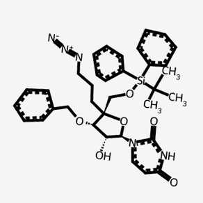 CC(C)(C)[Si](OC[C@@]1(CCCN=[N+]=[N-])O[C@@H](n2ccc(=O)[nH]c2=O)[C@H](O)[C@@H]1OCc1ccccc1)(c1ccccc1)c1ccccc1